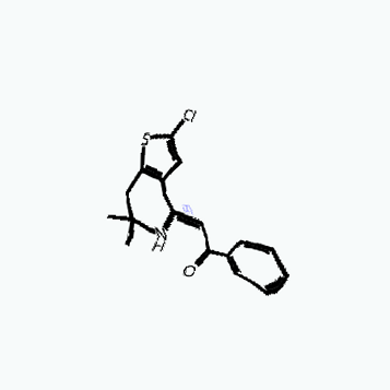 CC1(C)Cc2sc(Cl)cc2/C(=C/C(=O)c2ccccc2)N1